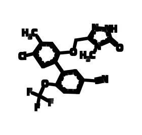 Cc1cc(OCc2n[nH]c(=O)n2C)c(-c2cc(C#N)ccc2OC(F)(F)F)cc1Cl